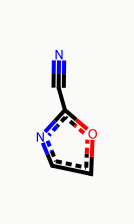 N#Cc1ncco1